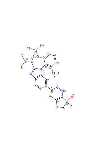 CCC(c1nc2ccc(-c3cnc4c(c3)CCC4(C)O)cc2n1-c1c(C=O)cccc1OC(F)F)N(C)C